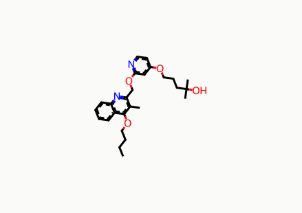 CCCCOc1c(C)c(COc2cc(OCCCC(C)(C)O)ccn2)nc2ccccc12